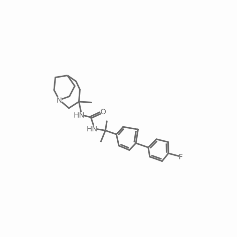 CC1(NC(=O)NC(C)(C)c2ccc(-c3ccc(F)cc3)cc2)CCC2CCN(CC2)C1